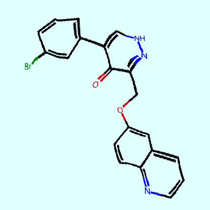 O=c1c(-c2cccc(Br)c2)c[nH]nc1COc1ccc2ncccc2c1